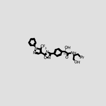 CC(C)CC(CO)NC(=O)[C@@H](O)c1ccc(-c2noc(-c3cnn(-c4ccccc4)c3C(F)(F)F)n2)cc1